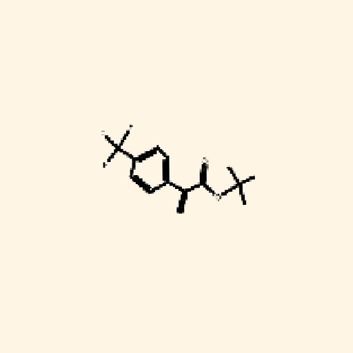 C=C(C(=O)OC(C)(C)C)c1ccc(C(F)(F)F)cc1